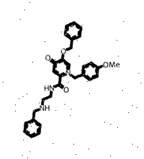 COc1ccc(Cn2cc(OCc3ccccc3)c(=O)cc2C(=O)NCCNCc2ccccc2)cc1